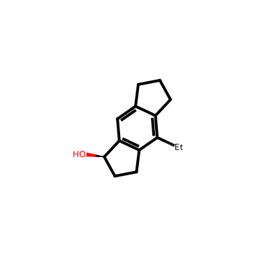 CCc1c2c(cc3c1CC[C@H]3O)CCC2